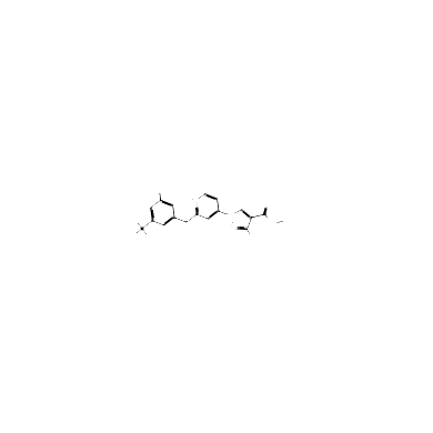 COC(=O)c1cn(-c2ccnc(Cc3cc(F)cc(C(F)(F)F)c3)c2)nc1C